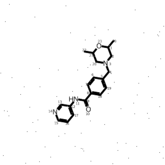 CC1CN(Cc2ccc(C(=O)Nc3[c]nccc3)cc2)CC(C)O1